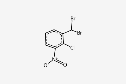 O=[N+]([O-])c1cccc(C(Br)Br)c1Cl